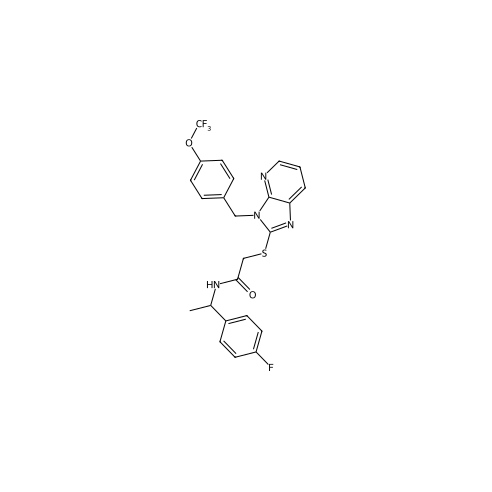 CC(NC(=O)CSc1nc2cccnc2n1Cc1ccc(OC(F)(F)F)cc1)c1ccc(F)cc1